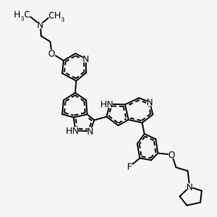 CN(C)CCOc1cncc(-c2ccc3[nH]nc(-c4cc5c(-c6cc(F)cc(OCCN7CCCC7)c6)cncc5[nH]4)c3c2)c1